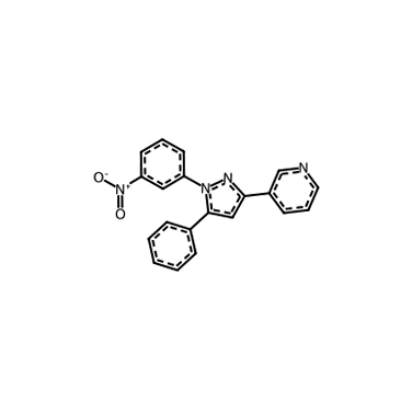 O=[N+]([O-])c1cccc(-n2nc(-c3cccnc3)cc2-c2ccccc2)c1